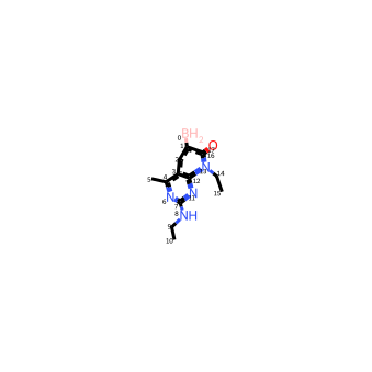 Bc1cc2c(C)nc(NCC)nc2n(CC)c1=O